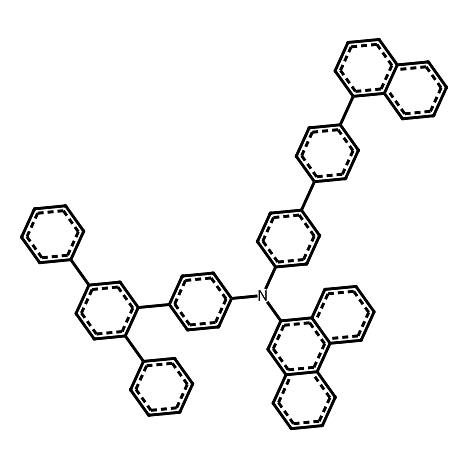 c1ccc(-c2ccc(-c3ccccc3)c(-c3ccc(N(c4ccc(-c5ccc(-c6cccc7ccccc67)cc5)cc4)c4cc5ccccc5c5ccccc45)cc3)c2)cc1